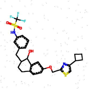 O=S(=O)(Nc1cccc(CC2CCc3ccc(OCc4nc(C5CCC5)cs4)cc3C2O)c1)C(F)(F)F